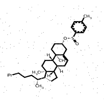 Cc1ccc([S@](=O)O[C@H]2CC[C@@]3(C)C(=CC[C@H]4[C@@H]5CC[C@H]([C@H](C)CCCC(C)C)[C@@]5(C)CC[C@@H]43)C2)cc1